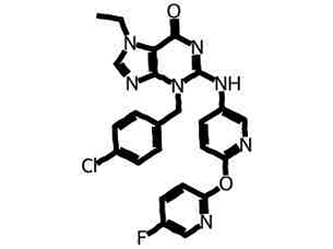 CCn1cnc2c1c(=O)nc(Nc1ccc(Oc3ccc(F)cn3)nc1)n2Cc1ccc(Cl)cc1